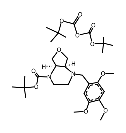 CC(C)(C)OC(=O)OC(=O)OC(C)(C)C.COc1cc(OC)c(OC)cc1CN1CCN(C(=O)OC(C)(C)C)[C@H]2COC[C@H]21